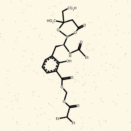 CCC(=O)N[C@@H](Cc1cccc(C(=O)OCOC(=O)C(CC)CC)c1O)B1OC(=O)CC(CC(=O)O)(C(=O)O)O1